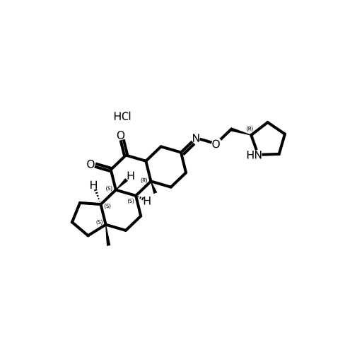 C[C@@]12CCC[C@H]1[C@@H]1C(=O)C(=O)C3CC(=NOC[C@H]4CCCN4)CC[C@]3(C)[C@H]1CC2.Cl